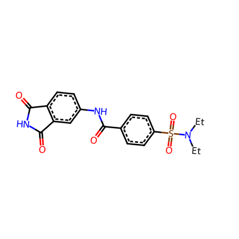 CCN(CC)S(=O)(=O)c1ccc(C(=O)Nc2ccc3c(c2)C(=O)NC3=O)cc1